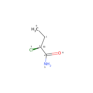 CC[C@H](Cl)C(N)=O